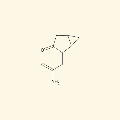 NC(=O)CC1C(=O)CC2CC21